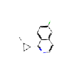 C[C@@H]1C[C@H]1c1nccc2cc(Cl)ccc12